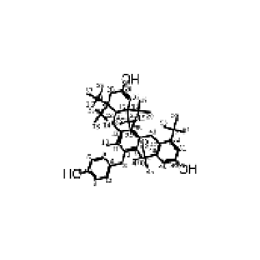 Cc1c(Cc2ccc(O)cc2)c(C)c(CC2C(C(C)(C)C)(C(C)(C)C)C=C(O)CC2(C(C)(C)C)C(C)(C)C)c(C)c1Cc1c(C(C)(C)C)cc(O)cc1C(C)(C)C